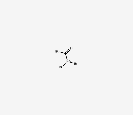 CCC(=O)[N+](Br)Br